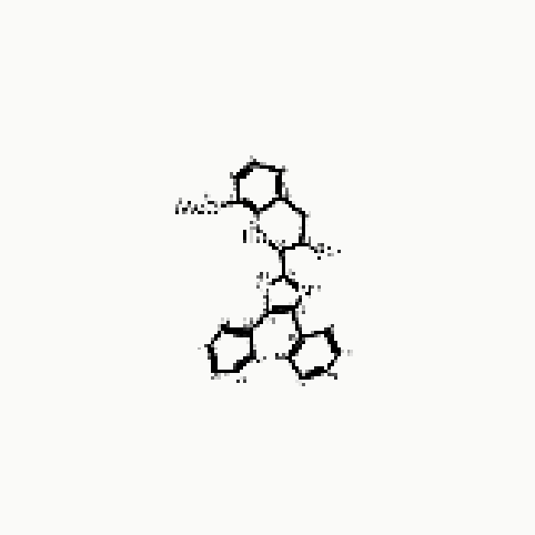 CCCC(Cc1cccc(OC)c1)C(O)c1nc(-c2ccccc2)c(-c2ccccc2)o1